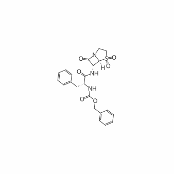 O=C(N[C@H](Cc1ccccc1)C(=O)N[C@@H]1C(=O)N2CCS(=O)(=O)[C@@H]12)OCc1ccccc1